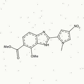 COC(=O)c1ccc2nc(-c3cc([N+](=O)[O-])cn3C)[nH]c2c1OC